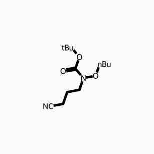 CCCCON(CCCC#N)C(=O)OC(C)(C)C